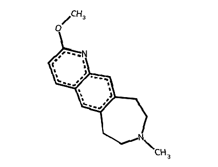 COc1ccc2cc3c(cc2n1)CCN(C)CC3